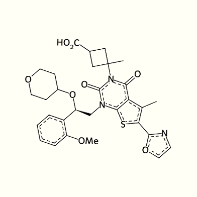 COc1ccccc1[C@H](Cn1c(=O)n(C2(C)CC(C(=O)O)C2)c(=O)c2c(C)c(-c3ncco3)sc21)OC1CCOCC1